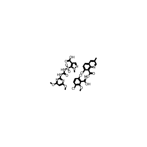 COc1c(Cl)ccc(Cl)c1C(=O)O.COc1cc(OC)nc(NC(=O)NS(=O)(=O)c2c(C(=O)O)cnn2C)n1.Cc1cnc2c(C(=O)O)c(Cl)ccc2c1